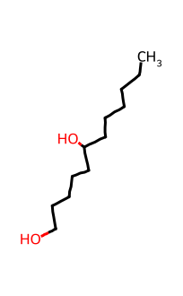 CCCCCCC(O)CCCCCO